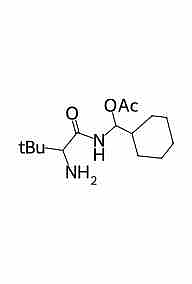 CC(=O)OC(NC(=O)C(N)C(C)(C)C)C1CCCCC1